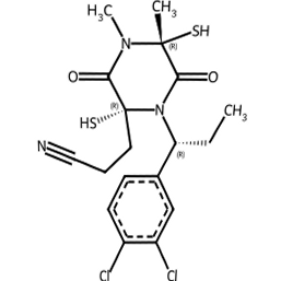 CC[C@H](c1ccc(Cl)c(Cl)c1)N1C(=O)[C@@](C)(S)N(C)C(=O)[C@]1(S)CCC#N